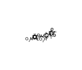 Cn1c(N2CCN(CCCOc3ccc([N+](=O)[O-])cc3C(=O)O)CC2)cc(=O)n(C)c1=O